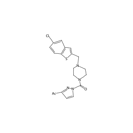 CC(=O)c1ccn(C(=O)N2CCN(Cc3cc4cc(Cl)ccc4s3)CC2)n1